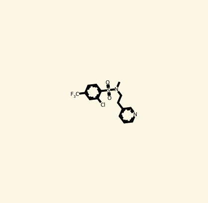 CN(CCc1cccnc1)S(=O)(=O)c1ccc(C(F)(F)F)cc1Cl